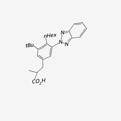 CCCCCCc1c(-n2nc3ccccc3n2)cc(CC(C)C(=O)O)cc1C(C)(C)C